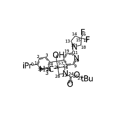 CC(C)c1ccc(C(O)(c2ccnc(N3CCC(F)(F)C3)c2)C2(C)CN(C(=O)OC(C)(C)C)C2)cc1